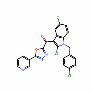 O=C(c1nnc(-c2cccnc2)o1)c1c(Cl)n(Cc2ccc(Cl)cc2)c2ccc(Cl)cc12